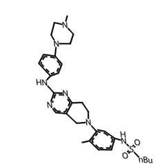 CCCCS(=O)(=O)Nc1ccc(C)c(N2CCc3nc(Nc4ccc(N5CCN(C)CC5)cc4)ncc3C2)c1